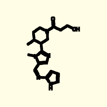 CC1CCN(C(=O)CCO)CC1c1ncc(/C=N\c2ccc[nH]2)n1C